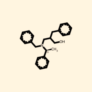 C[C@@H](c1ccccc1)N(Cc1ccccc1)CC(CO)Cc1ccccc1